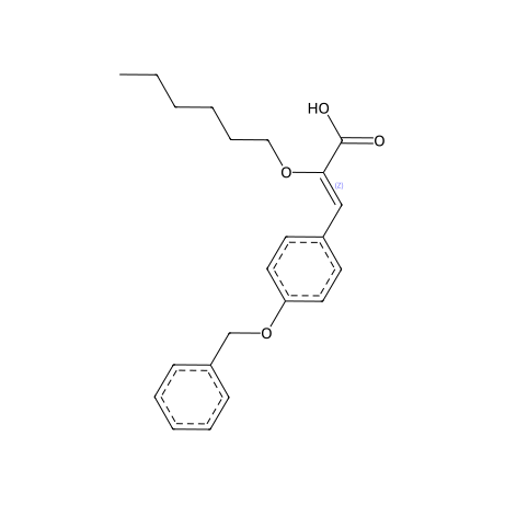 CCCCCCO/C(=C\c1ccc(OCc2ccccc2)cc1)C(=O)O